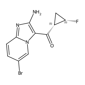 Nc1nc2ccc(Br)cn2c1C(=O)[C@@H]1C[C@@H]1F